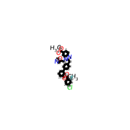 COC(=O)c1ccc2nc(Cc3ccc(-c4cccc5c4OC(C)(c4ccc(Cl)cc4F)O5)cc3)n(Cc3cnco3)c2c1